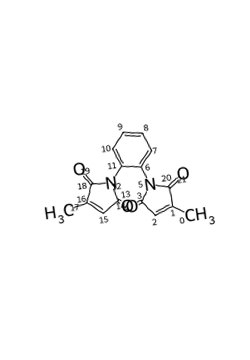 CC1=CC(=O)N(c2ccccc2N2C(=O)C=C(C)C2=O)C1=O